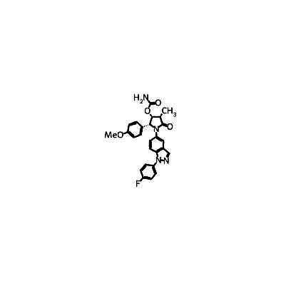 COc1ccc([C@@H]2[C@@H](OC(N)=O)[C@@H](C)C(=O)N2c2ccc3c(cnn3-c3ccc(F)cc3)c2)cc1